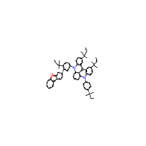 CCC(C)(C)c1ccc(N2c3ccc(C(C)(C)CC)cc3B3c4cc(C(C)(C)CC)ccc4N(c4ccc(C(C)(C)CC)c(-c5ccc6c(c5)oc5ccccc56)c4)c4cccc2c43)cc1